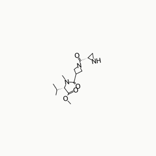 COC(=O)[C@H](C(C)C)N(C)C(=O)C1CN(C(=O)[C@@H]2CN2)C1